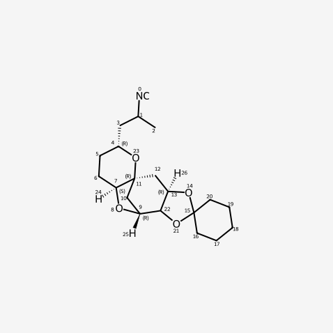 [C-]#[N+]C(C)C[C@H]1CC[C@@H]2O[C@@H]3C[C@]2(C[C@H]2OC4(CCCCC4)OC32)O1